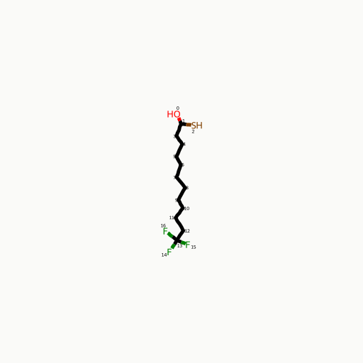 OC(S)CCCCCCCCCCC(F)(F)F